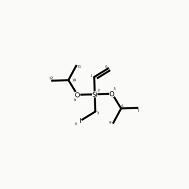 C=C[Si](CI)(OC(C)C)OC(C)C